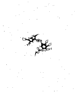 C=C1N=c2nc(Cl)c(C#N)cc2=C1/N=N/c1cc(NC(=O)OCC)c(O)c(Cl)c1Cl